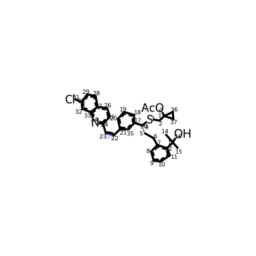 CC(=O)OC1(CS[C@H](CCc2ccccc2C(C)(C)O)c2cccc(/C=C\c3ccc4ccc(Cl)cc4n3)c2)CC1